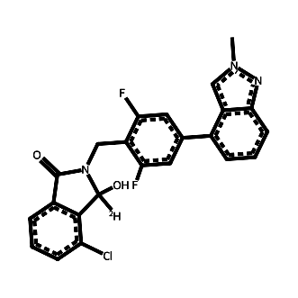 [2H]C1(O)c2c(Cl)cccc2C(=O)N1Cc1c(F)cc(-c2cccc3nn(C)cc23)cc1F